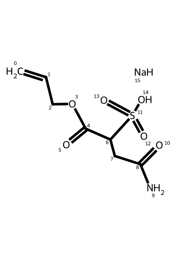 C=CCOC(=O)C(CC(N)=O)S(=O)(=O)O.[NaH]